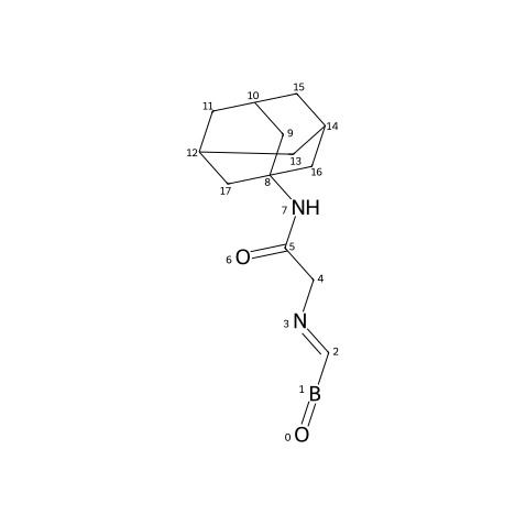 O=BC=NCC(=O)NC12CC3CC(CC(C3)C1)C2